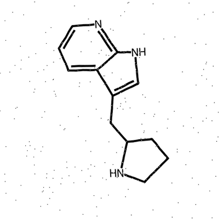 c1cnc2[nH]cc(CC3CCCN3)c2c1